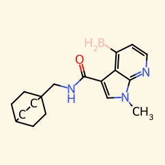 Bc1ccnc2c1c(C(=O)NCC13CCC(CC1)CC3)cn2C